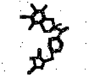 Cc1c(C)c2c(c(C)c1O)CC[C@](C)(C(=O)c1ccc(CC3SC(=O)NC3=O)cc1)O2